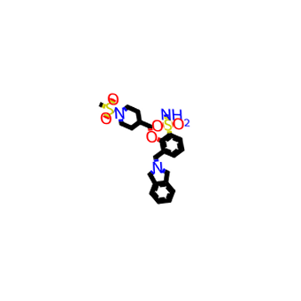 CS(=O)(=O)N1CCC(COc2c(CN3Cc4ccccc4C3)cccc2S(N)(=O)=O)CC1